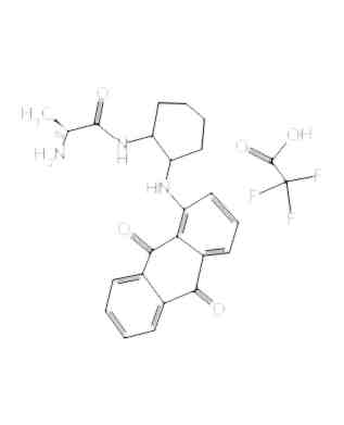 C[C@H](N)C(=O)NC1CCCCC1Nc1cccc2c1C(=O)c1ccccc1C2=O.O=C(O)C(F)(F)F